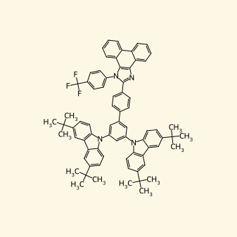 CC(C)(C)c1ccc2c(c1)c1cc(C(C)(C)C)ccc1n2-c1cc(-c2ccc(-c3nc4c5ccccc5c5ccccc5c4n3-c3ccc(C(F)(F)F)cc3)cc2)cc(-n2c3ccc(C(C)(C)C)cc3c3cc(C(C)(C)C)ccc32)c1